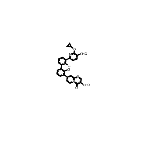 O=Cc1ccc(-c2cccc(-c3cccc(-c4ccn5c(=O)c(C=O)cnc5c4)c3Cl)c2Cl)nc1OC1CC1